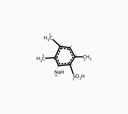 Cc1cc(C)c(S(=O)(=O)O)cc1C.[NaH]